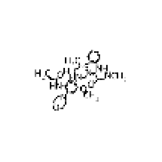 C=CC(=O)Nc1cc(NC/N=C(Nc2ccccc2SC(C)C)\C(Cl)=C/N=C)c(OC)cc1N1CCOCC1